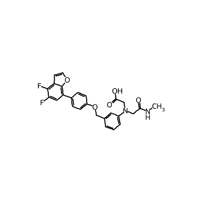 CNC(=O)CN(CC(=O)O)c1cccc(COc2ccc(-c3cc(F)c(F)c4ccoc34)cc2)c1